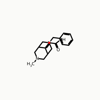 CN1CC2CN(Cc3ccccc3)CC(C1)C2=CC(=O)O